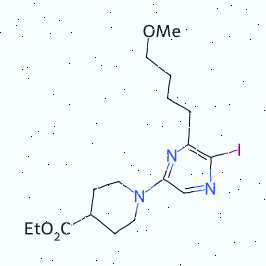 CCOC(=O)C1CCN(c2cnc(I)c(CCCCOC)n2)CC1